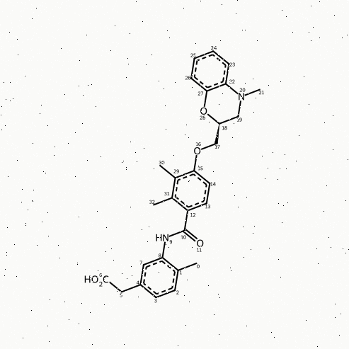 Cc1ccc(CC(=O)O)cc1NC(=O)c1ccc(OC[C@@H]2CN(C)c3ccccc3O2)c(C)c1C